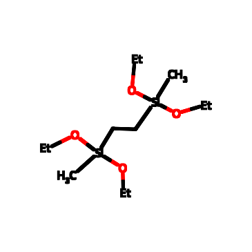 CCO[Si](C)(CC[Si](C)(OCC)OCC)OCC